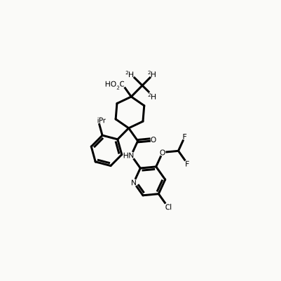 [2H]C([2H])([2H])C1(C(=O)O)CCC(C(=O)Nc2ncc(Cl)cc2OC(F)F)(c2ccccc2C(C)C)CC1